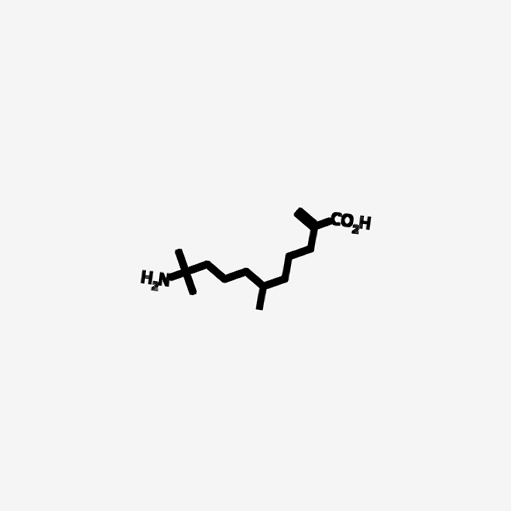 C=C(CCCC(C)CCCC(C)(C)N)C(=O)O